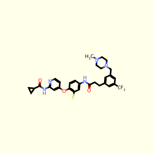 CN1CCN(Cc2cc(CCC(=O)Nc3ccc(Oc4ccnc(NC(=O)C5CC5)c4)c(F)c3)cc(C(F)(F)F)c2)CC1